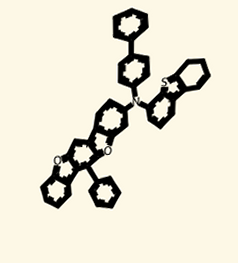 C1=Cc2c(sc3c(N(c4ccc(-c5ccccc5)cc4)c4ccc5c(c4)oc4c(-c6ccccc6)c6c(cc45)oc4ccccc46)cccc23)CC1